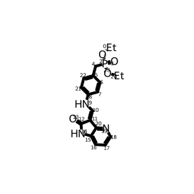 CCOP(=O)(Cc1ccc(N/C=C2\C(=O)Nc3cccnc32)cc1)OCC